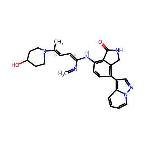 C=N/C(=C\C=C(/C)N1CCC(O)CC1)Nc1ccc(-c2cnn3ccccc23)c2c1C(=O)NC2